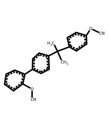 CC(C)(c1ccc(OC#N)cc1)c1ccc(-c2ccccc2OC#N)cc1